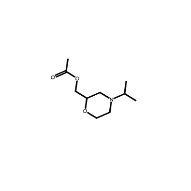 CC(=O)OCC1CN(C(C)C)CCO1